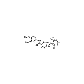 COc1ccc(NC(=O)c2ccc3nc(-c4c(Cl)cccc4Cl)[nH]c3c2)cc1OC